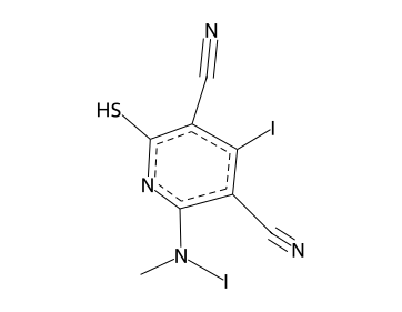 CN(I)c1nc(S)c(C#N)c(I)c1C#N